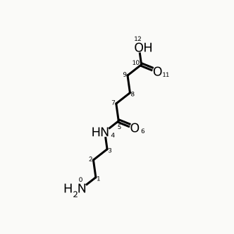 NCCCNC(=O)CCCC(=O)O